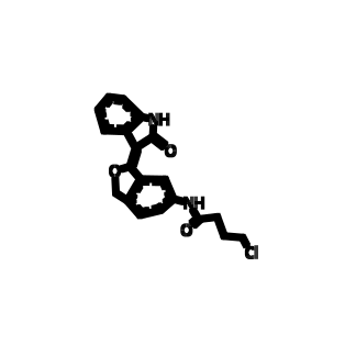 O=C(CCCCl)Nc1ccc2c(c1)C(=C1C(=O)Nc3ccccc31)OC2